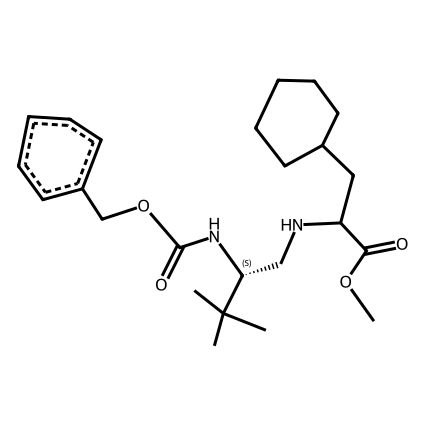 COC(=O)C(CC1CCCCC1)NC[C@@H](NC(=O)OCc1ccccc1)C(C)(C)C